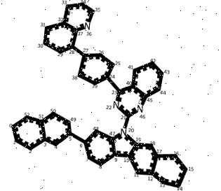 c1ccc2cc(-c3ccc4c5cc6ccccc6cc5n(-c5nc(-c6ccc(-c7cccc8cccnc78)cc6)c6ccccc6n5)c4c3)ccc2c1